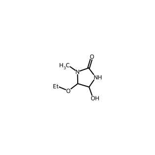 CCOC1C(O)NC(=O)N1C